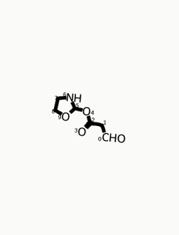 O=CCC(=O)OC1NCCO1